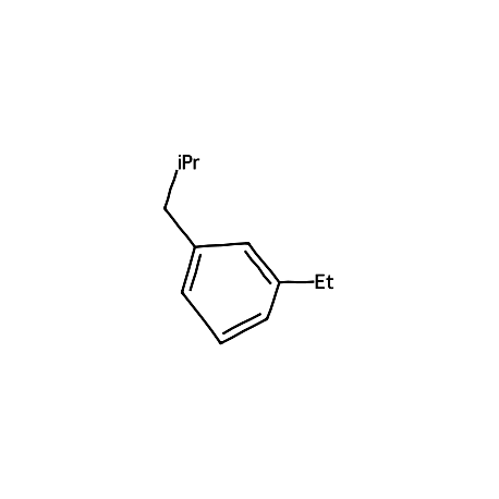 CCc1cccc(CC(C)C)c1